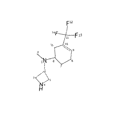 CN(C1CNC1)C1CCC=C(C(F)(F)F)C1